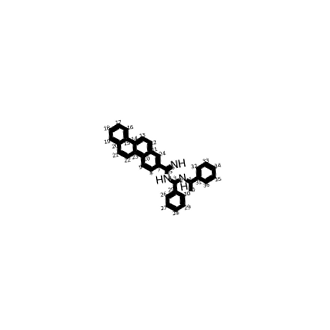 CC(NC(NC(=N)c1ccc2c(ccc3c4ccccc4ccc23)c1)c1ccccc1)c1ccccc1